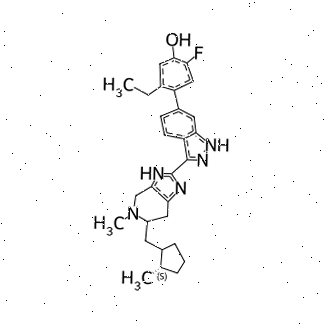 CCc1cc(O)c(F)cc1-c1ccc2c(-c3nc4c([nH]3)CN(C)C(CC3CCC[C@@H]3C)C4)n[nH]c2c1